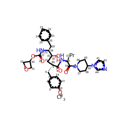 CC(C)[C@H](NC(=O)[C@H](Cc1ccc(OC(F)(F)F)cc1)C[C@H](O)[C@H](Cc1ccccc1)NC(=O)OC1COC1)C(=O)N1CCC(n2ccnc2)CC1